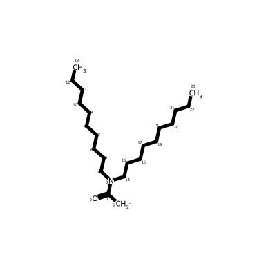 [CH2]C(=O)N(CCCCCCCCCC)CCCCCCCCCC